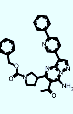 CC(=O)c1c(C2CCN(C(=O)OCc3ccccc3)C2)nc2c(-c3ccc(-c4ccccc4)nc3)cnn2c1N